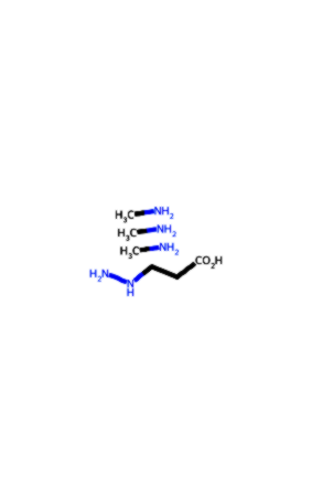 CN.CN.CN.NNCCC(=O)O